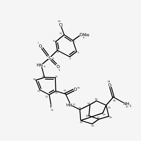 COc1ccc(S(=O)(=O)Nc2ccc(F)c(C(=O)NC3C4CC5CC3CC(C(N)=O)(C5)C4)c2)cc1Cl